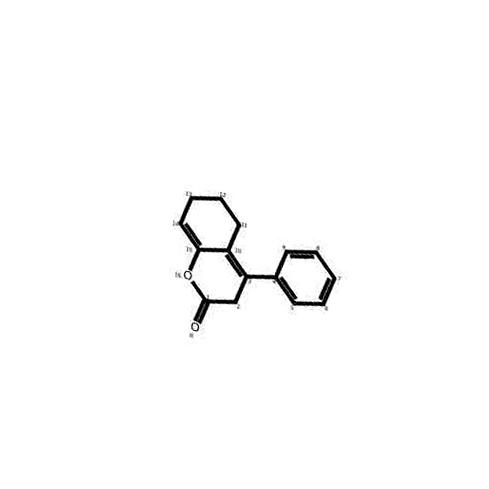 O=C1CC(c2ccccc2)=C2CCCC=C2O1